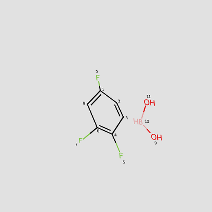 Fc1ccc(F)c(F)c1.OBO